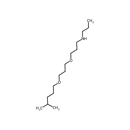 CCCNCCCOCCCOCCCC(C)C